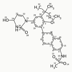 COc1c(-c2ccc3cc(NS(C)(=O)=O)ccc3c2)cc(N2C=CC(O)NC2=O)cc1C(C)(C)C